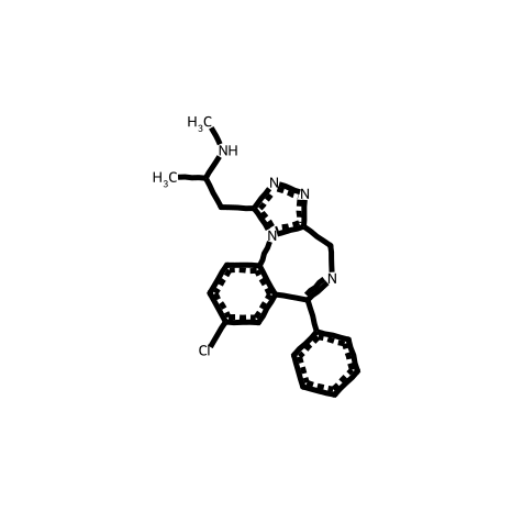 CNC(C)Cc1nnc2n1-c1ccc(Cl)cc1C(c1ccccc1)=NC2